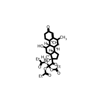 CCC(=O)OC(OC(=O)CC)(OC(=O)CC)C(=O)[C@@]1(O)CC[C@H]2[C@@H]3CC(C)C4=CC(=O)CC[C@]4(C)[C@H]3C(O)C[C@@]21C